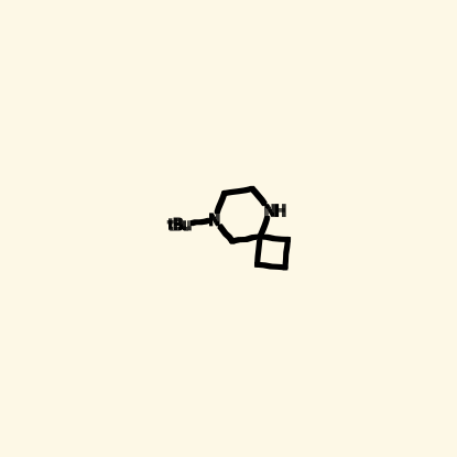 CC(C)(C)N1CCNC2(CCC2)C1